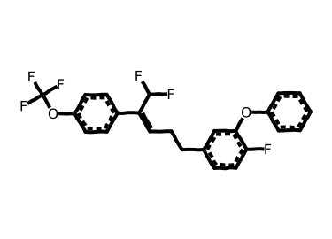 Fc1ccc(CCC=C(c2ccc(OC(F)(F)F)cc2)C(F)F)cc1Oc1ccccc1